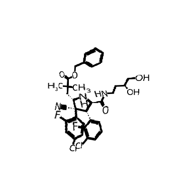 CC(C)(C[C@@H]1N[C@@H](C(=O)NCC[C@H](O)CO)[C@H](c2cccc(Cl)c2F)[C@@]1(C#N)c1ccc(Cl)cc1F)C(=O)OCc1ccccc1